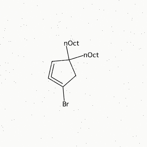 CCCCCCCCC1(CCCCCCCC)C=C=C(Br)C1